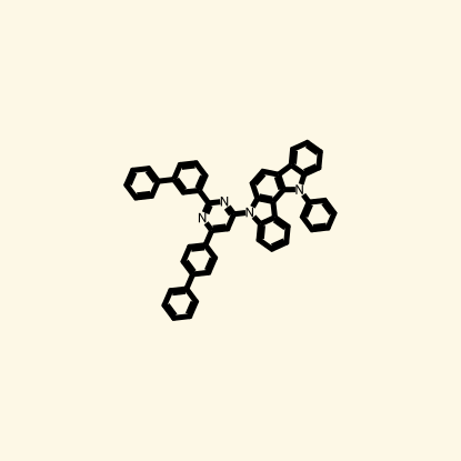 c1ccc(-c2ccc(-c3cc(-n4c5ccccc5c5c4ccc4c6ccccc6n(-c6ccccc6)c45)nc(-c4cccc(-c5ccccc5)c4)n3)cc2)cc1